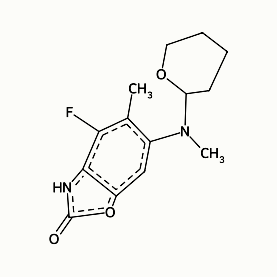 Cc1c(N(C)C2CCCCO2)cc2oc(=O)[nH]c2c1F